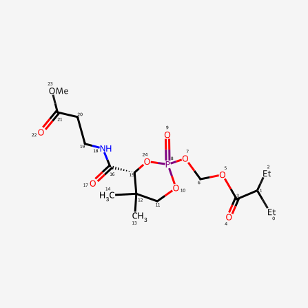 CCC(CC)C(=O)OCOP1(=O)OCC(C)(C)[C@H](C(=O)NCCC(=O)OC)O1